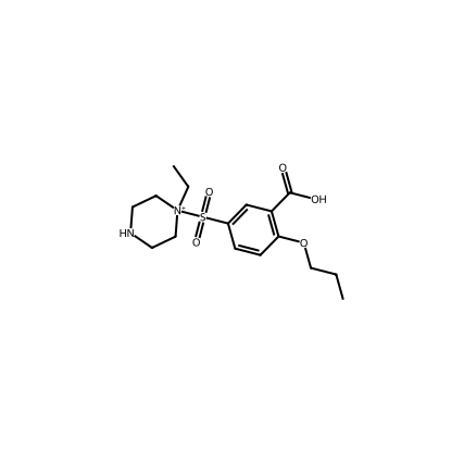 CCCOc1ccc(S(=O)(=O)[N+]2(CC)CCNCC2)cc1C(=O)O